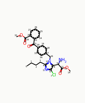 CCCCc1nc(Cl)c(C(N)C(=O)OC)n1Cc1ccc(C(=O)c2ccccc2C(=O)OC)cc1